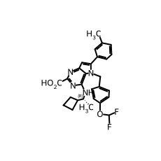 Cc1cccc(-c2cc3nc(C(=O)O)nc(N[C@H](C)C4CCC4)c3n2Cc2ccc(OC(F)F)cc2)c1